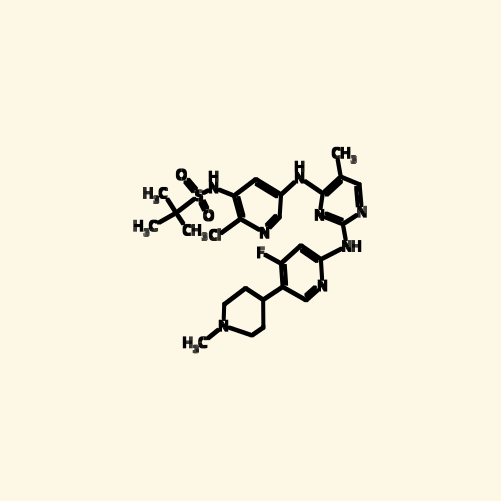 Cc1cnc(Nc2cc(F)c(C3CCN(C)CC3)cn2)nc1Nc1cnc(Cl)c(NS(=O)(=O)C(C)(C)C)c1